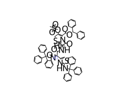 CS(=O)(=O)OC1=C(C(=O)OC(c2ccccc2)c2ccccc2)N2C(=O)[C@@H](NC(=O)/C(=N\OC(c3ccccc3)(c3ccccc3)c3ccccc3)c3csc(NC(c4ccccc4)(c4ccccc4)c4ccccc4)n3)[C@@H]2SC1